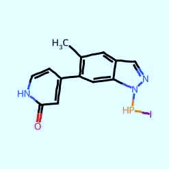 Cc1cc2cnn(PI)c2cc1-c1cc[nH]c(=O)c1